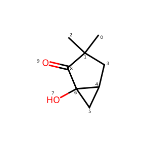 CC1(C)CC2CC2(O)C1=O